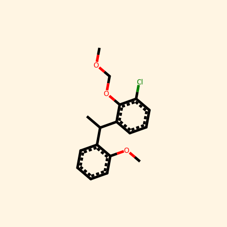 COCOc1c(Cl)cccc1C(C)c1ccccc1OC